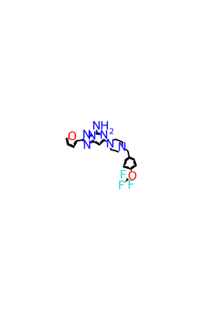 Nc1nc(N2CCN(Cc3ccc(OC(F)(F)F)cc3)CC2)cc2nc(-c3ccco3)nn12